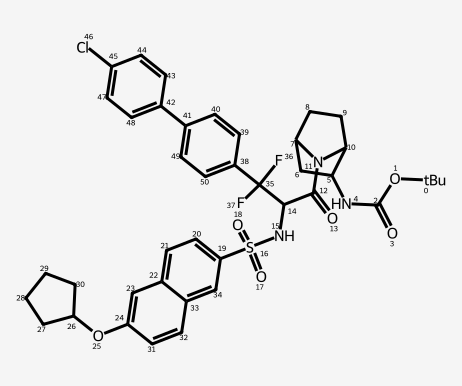 CC(C)(C)OC(=O)NC1CC2CCC1N2C(=O)C(NS(=O)(=O)c1ccc2cc(OC3CCCC3)ccc2c1)C(F)(F)c1ccc(-c2ccc(Cl)cc2)cc1